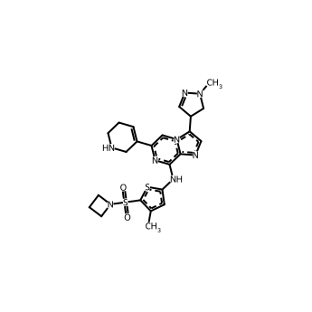 Cc1cc(Nc2nc(C3=CCCNC3)cn3c(C4C=NN(C)C4)cnc23)sc1S(=O)(=O)N1CCC1